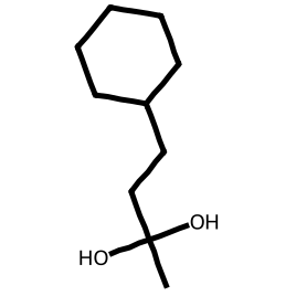 CC(O)(O)CC[C]1CCCCC1